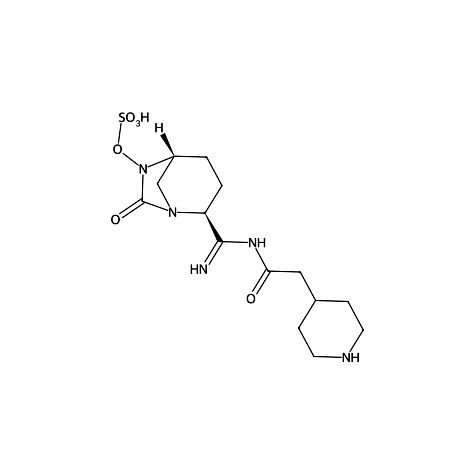 N=C(NC(=O)CC1CCNCC1)[C@@H]1CC[C@@H]2CN1C(=O)N2OS(=O)(=O)O